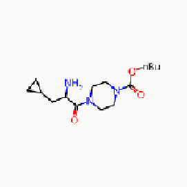 CCCCOC(=O)N1CCN(C(=O)C(N)CC2CC2)CC1